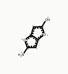 Nc1cc2oc(O)cc2o1